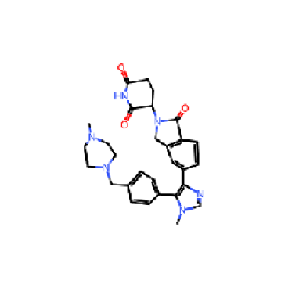 CN1CCN(Cc2ccc(-c3c(-c4ccc5c(c4)CN(C4CCC(=O)NC4=O)C5=O)ncn3C)cc2)CC1